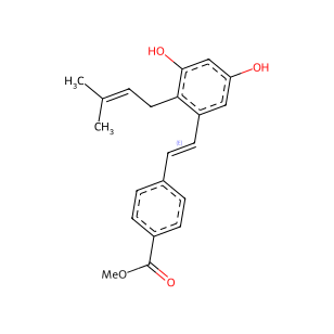 COC(=O)c1ccc(/C=C/c2cc(O)cc(O)c2CC=C(C)C)cc1